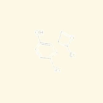 CC(C)c1ccc(O)cc1.CCC1CCO1